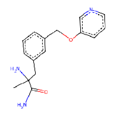 CC(N)(Cc1cccc(COc2cccnc2)c1)C(N)=O